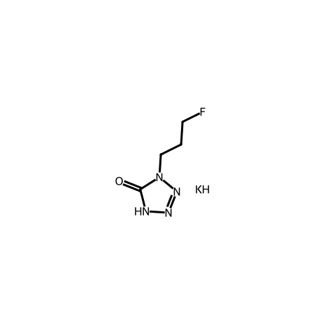 O=c1[nH]nnn1CCCF.[KH]